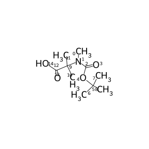 CN(C(=O)OC(C)(C)C)C(C)(C)C(=O)O